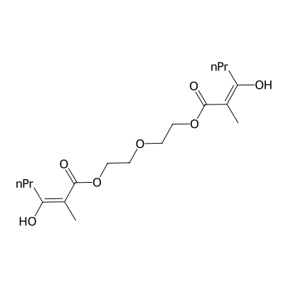 CCC/C(O)=C(/C)C(=O)OCCOCCOC(=O)/C(C)=C(/O)CCC